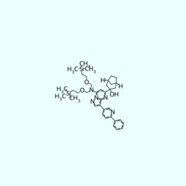 C[Si](C)(C)CCOCN(COCC[Si](C)(C)C)c1cc([C@]2(O)C[C@@H]3CC[C@@H](C3)C2)nc2c(-c3ccc(-c4ccccc4)nc3)cnn12